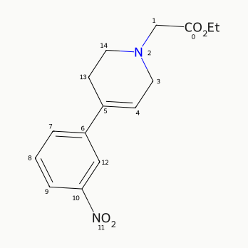 CCOC(=O)CN1CC=C(c2cccc([N+](=O)[O-])c2)CC1